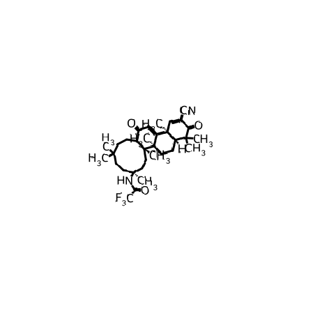 CC1(C)CCC2C(=O)C=C3[C@@]4(C)C=C(C#N)C(=O)C(C)(C)[C@@H]4CC[C@@]3(C)[C@]2(C)CC[C@@](C)(NC(=O)C(F)(F)F)CC1